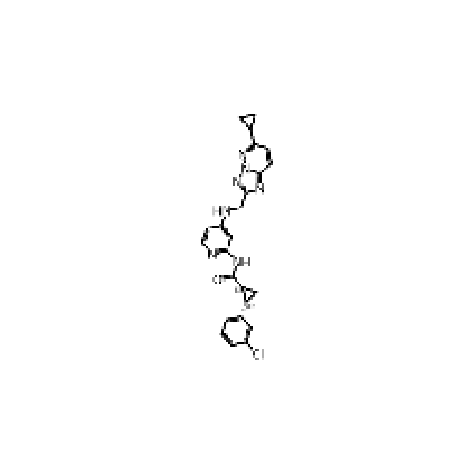 O=C(Nc1cc(NCc2nc3ccc(C4CC4)nn3n2)ccn1)[C@H]1C[C@@H]1c1cccc(Cl)c1